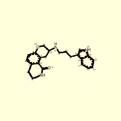 O=C1NCCc2ccc3c(c21)CC(NCCCc1c[nH]c2ccccc12)CO3